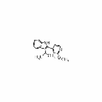 COc1cc(-c2[nH]c3ccccc3c2C(C)C)ccn1